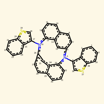 c1ccc2c(-n3c4ccc5cccc(c5c4)n(-c4csc5ccccc45)c4ccc5cccc3c5c4)csc2c1